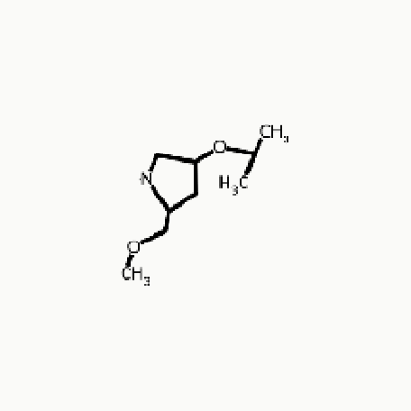 COCC1CC(OC(C)C)C[N]1